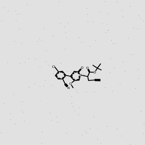 C#CCC(C(=O)OC(C)(C)C)n1cc(OC)c(-c2cc(Cl)ccc2C#N)cc1=O